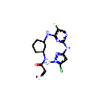 C=CC(=O)NC1CCCC(Nc2nc(Nc3cc(Cl)n(C)n3)ncc2Cl)C1